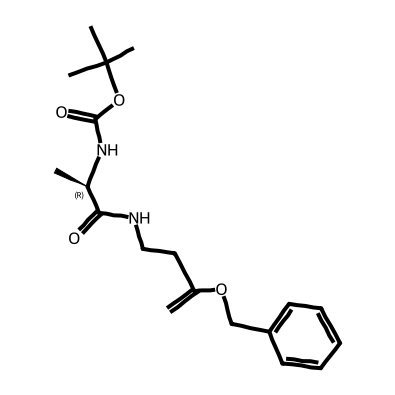 C=C(CCNC(=O)[C@@H](C)NC(=O)OC(C)(C)C)OCc1ccccc1